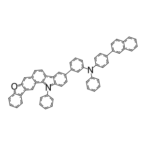 c1ccc(N(c2ccc(-c3ccc4ccccc4c3)cc2)c2cccc(-c3ccc4c(c3)c3ccc5cc6oc7ccccc7c6cc5c3n4-c3ccccc3)c2)cc1